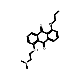 CCCNc1cccc2c1C(=O)c1cccc(NCCN(C)C)c1C2=O